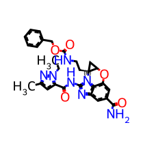 CCn1nc(C)cc1C(=O)Nc1nc2cc(C(N)=O)cc3c2n1[C@]1(CCNC(=O)OCc2ccccc2)CC1O3